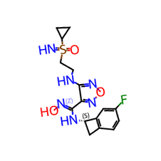 N=S(=O)(CCNc1nonc1/C(=N/O)N[C@H]1Cc2ccc(F)cc21)C1CC1